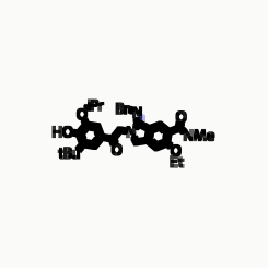 CCOc1cc2c(cc1C(=O)NC)/C(=N/Br)N(CC(=O)c1cc(OC(C)C)c(O)c(C(C)(C)C)c1)C2